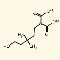 CC(C)(CCO)CCN(C(=O)O)C(=O)O